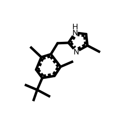 Cc1c[nH]c(Cc2c(C)cc(C(C)(C)C)cc2C)n1